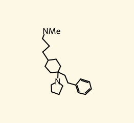 CNCCCC1CCC(CCc2ccccc2)(N2CCCC2)CC1